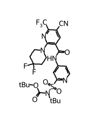 CC(C)(C)OC(=O)N(C(C)(C)C)S(=O)(=O)c1cc(NC(=O)c2cc(C#N)c(C(F)(F)F)nc2N2CCC(F)(F)CC2)ccn1